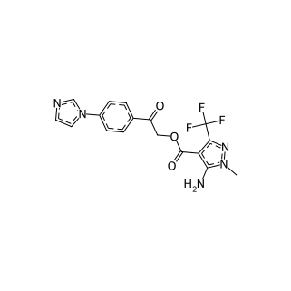 Cn1nc(C(F)(F)F)c(C(=O)OCC(=O)c2ccc(-n3ccnc3)cc2)c1N